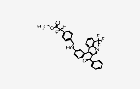 CCOC(=O)C(F)(F)c1ccc(CNc2cccc(-c3c(C(=O)c4ccccc4)cnc4c(C(F)(F)F)cccc34)c2)cc1